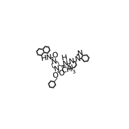 C[C@H](Nc1nccc(-n2cnc3ccccc32)n1)C1CN(C(=O)Nc2cccc3ccccc23)CCN1C(=O)OCc1ccccc1